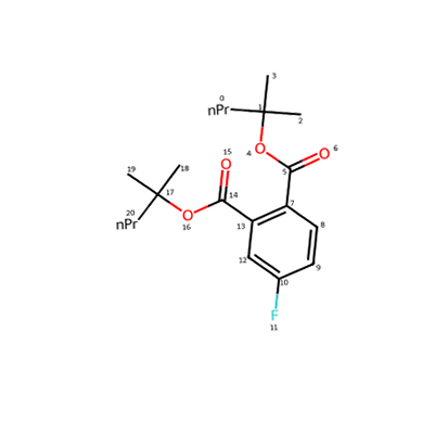 CCCC(C)(C)OC(=O)c1ccc(F)cc1C(=O)OC(C)(C)CCC